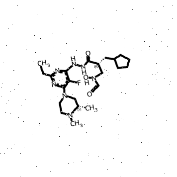 CCc1nc(NNC(=O)[C@H](CC2CCCC2)CN(O)C=O)c(F)c(N2CCN(C)[C@@H](C)C2)n1